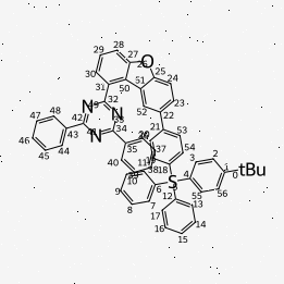 CC(C)(C)c1ccc(S(c2ccccc2)(c2ccccc2)c2ccc(-c3ccc4oc5cccc(-c6nc(-c7ccccc7)nc(-c7ccccc7)n6)c5c4c3)cc2)cc1